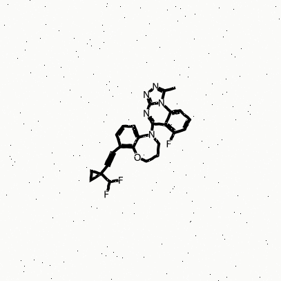 Cc1nnc2nc(N3CCCOc4c(C#CC5(C(F)F)CC5)cccc43)c3c(F)cccc3n12